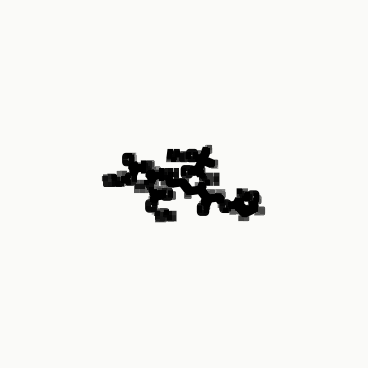 COC(C)(C)C(=O)NC(CCCNC(=NC(=O)OC(C)(C)C)NC(=O)OC(C)(C)C)C(=O)COc1ccon1